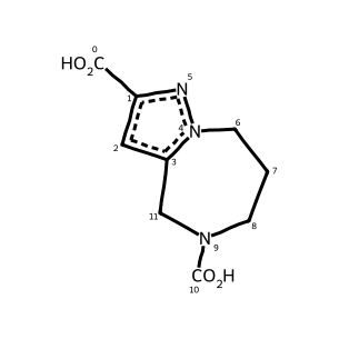 O=C(O)c1cc2n(n1)CCCN(C(=O)O)C2